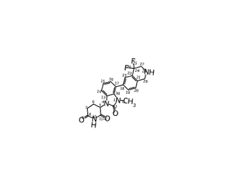 Cn1c(=O)n(C2CCC(=O)NC2=O)c2cccc(-c3ccc4c(c3)C(F)(F)CNC4)c21